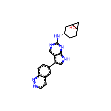 O[C@]12CC[C@H](Nc3ncc4c(-c5ccc6nnccc6c5)c[nH]c4n3)CC1C2